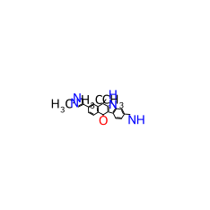 Cn1cc(-c2ccc3c(c2)C(C)(C)c2[nH]c4cc(C=N)ccc4c2C3=O)cn1